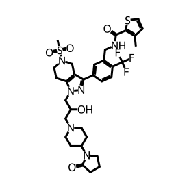 Cc1ccsc1C(=O)NCc1cc(-c2nn(CC(O)CN3CCC(N4CCCC4=O)CC3)c3c2CN(S(C)(=O)=O)CC3)ccc1C(F)(F)F